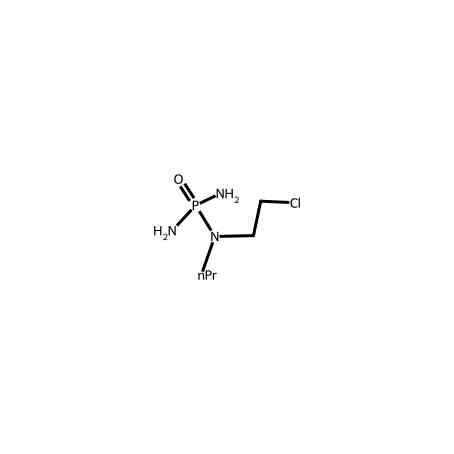 CCCN(CCCl)P(N)(N)=O